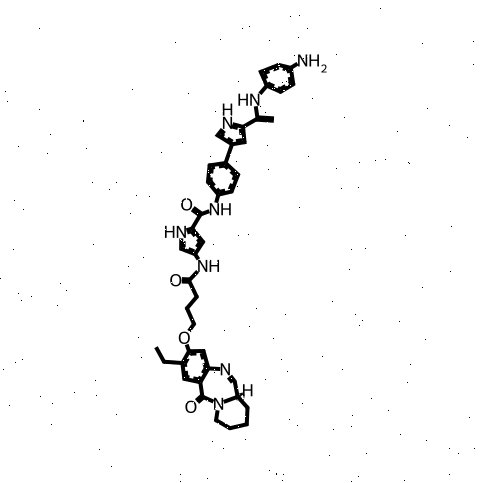 C=C(Nc1ccc(N)cc1)c1cc(-c2ccc(NC(=O)c3cc(NC(=O)CCCOc4cc5c(cc4CC)C(=O)N4CCCC[C@@H]4C=N5)c[nH]3)cc2)c[nH]1